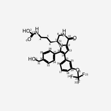 O=C(O)NCCC[C@H]1CNC(=O)c2cc(-c3cccc(OC(F)(F)F)c3)c(-c3ccc(CO)cc3)n21